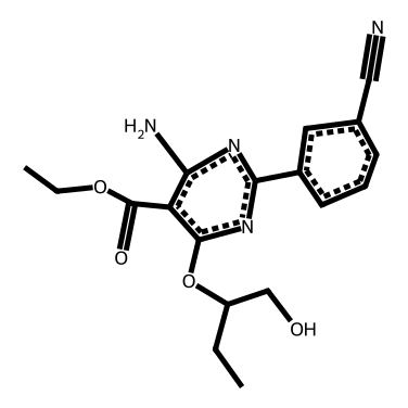 CCOC(=O)c1c(N)nc(-c2cccc(C#N)c2)nc1OC(CC)CO